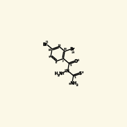 NC(=S)N(N)C(=O)c1ccc(Br)cc1Br